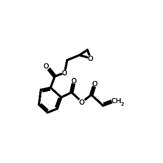 C=CC(=O)OC(=O)c1ccccc1C(=O)OCC1CO1